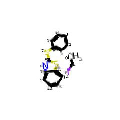 CCI.c1ccc(Sc2nc3ccccc3s2)cc1